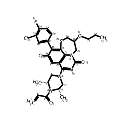 C=CC(=O)N1[C@H](C)CN(c2nc(=O)n3c4c(c(-c5ccc(F)c(Cl)c5)c(Cl)cc24)SCC(OCCC)C3)C[C@@H]1C